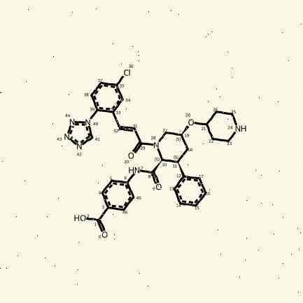 O=C(O)c1ccc(NC(=O)[C@@H]2[C@H](c3ccccc3)C[C@H](OC3CCNCC3)CN2C(=O)C=Cc2cc(Cl)ccc2-n2cnnn2)cc1